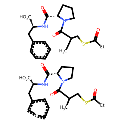 CCC(=O)SCC(C)C(=O)N1CCC[C@H]1C(=O)N[C@@H](Cc1ccccc1)C(=O)O.CCC(=O)SCC(C)C(=O)N1CCC[C@H]1C(=O)N[C@@H](Cc1ccccc1)C(=O)O